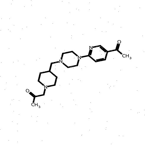 CC(=O)CN1CCC(CN2CCN(c3ccc(C(C)=O)cn3)CC2)CC1